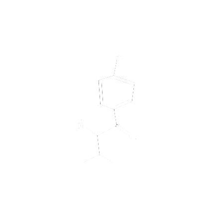 CC(C)C(Br)C(=O)c1ccc(Br)cc1